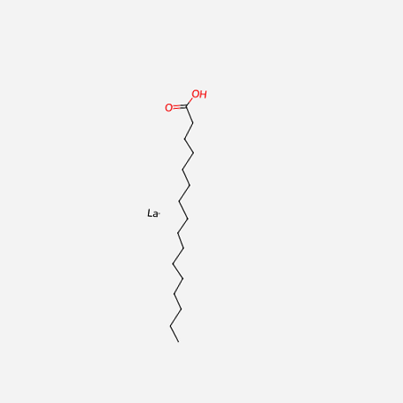 CCCCCCCCCCCCCCCC(=O)O.[La]